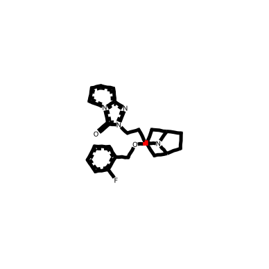 O=c1n(CCCN2C3CCC2CC(OCc2ccccc2F)C3)nc2ccccn12